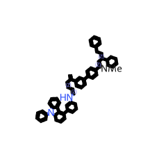 C=C(/C=C\C=C/NC1=CC(C2=C3c4ccccc4N(c4ccccc4)C3CC=C2)=CCC1)c1cccc(-c2ccc(/C(=C/C(=C\Cc3ccccc3)C3CC=CCC3)NC)cc2)c1